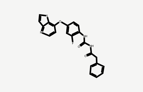 O=C(Cc1ccccc1)NC(=O)Nc1ccc(Oc2ccnc3ccsc23)cc1F